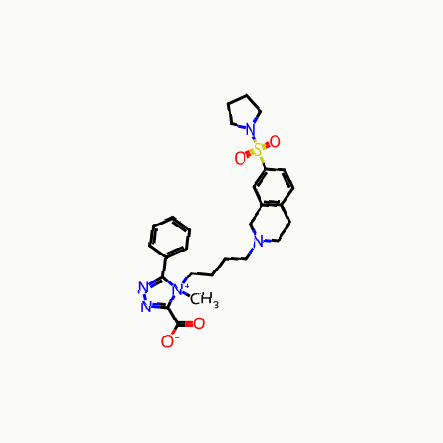 C[N+]1(CCCCN2CCc3ccc(S(=O)(=O)N4CCCC4)cc3C2)C(C(=O)[O-])=NN=C1c1ccccc1